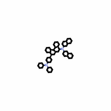 c1ccc(N(c2ccccc2)c2ccc(-c3cc4cc(N(c5ccc6ccccc6c5)c5ccc6ccccc6c5)c5ccccc5c4c4ccccc34)cc2)cc1